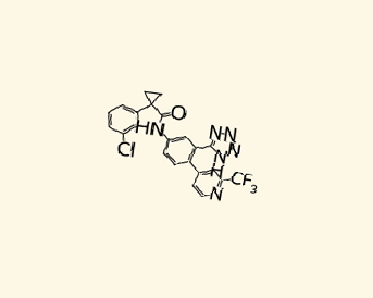 O=C(Nc1ccc(-c2ccnc(C(F)(F)F)c2)c(-c2nnn[nH]2)c1)C1(c2cccc(Cl)c2)CC1